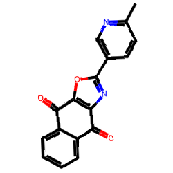 Cc1ccc(-c2nc3c(o2)C(=O)c2ccccc2C3=O)cn1